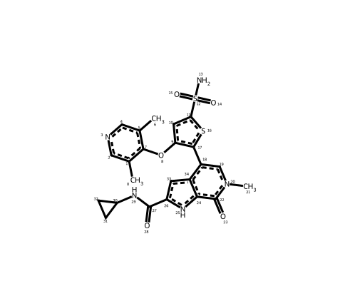 Cc1cncc(C)c1Oc1cc(S(N)(=O)=O)sc1-c1cn(C)c(=O)c2[nH]c(C(=O)NC3CC3)cc12